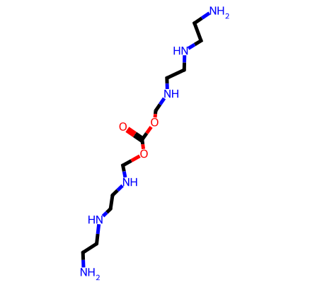 NCCNCCNCOC(=O)OCNCCNCCN